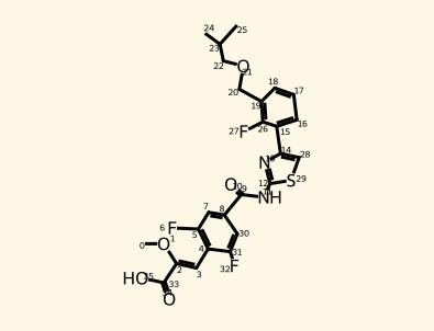 COC(=Cc1c(F)cc(C(=O)Nc2nc(-c3cccc(COCC(C)C)c3F)cs2)cc1F)C(=O)O